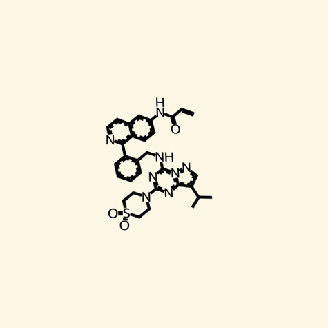 C=CC(=O)Nc1ccc2c(-c3ccccc3CNc3nc(N4CCS(=O)(=O)CC4)nc4c(C(C)C)cnn34)nccc2c1